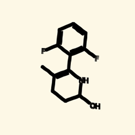 CC1=C(c2c(F)cccc2F)NC(O)CC1